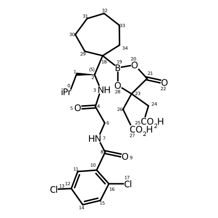 CC(C)C[C@H](NC(=O)CNC(=O)c1cc(Cl)ccc1Cl)C1(B2OC(=O)C(CC(=O)O)(CC(=O)O)O2)CCCCCC1